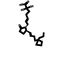 CCCC1(CCC=C[C@H]2CCC(=O)[C@@H]2CC=CCCC(O)(O)C(=O)O)CCC1